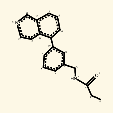 CCC(=O)NCc1cccc(-c2cccc3cnccc23)c1